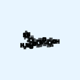 NC(=O)c1cc(-c2cscn2)ccc1OC1CCN(C(=O)Cc2ccc(O)cc2)CC1